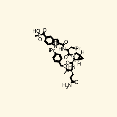 CC(C)C[C@H](NC(=O)c1cc2cc(C(=O)P(C)(=O)O)ccc2[nH]1)C(=O)N1C[C@H]2C[C@H]2[C@H]1C(=O)N[C@@H](CCC(N)=O)[C@@H](C)OCc1ccc(C(C)C)cc1